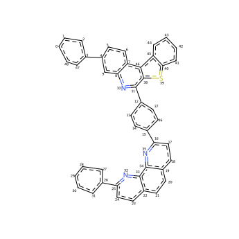 c1ccc(-c2ccc3c(c2)nc(-c2ccc(-c4ccc5ccc6ccc(-c7ccccc7)nc6c5n4)cc2)c2sc4ccccc4c23)cc1